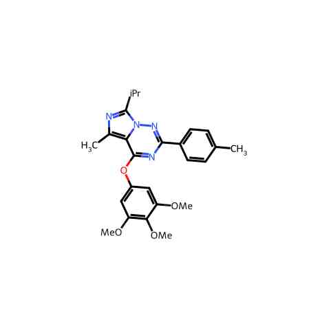 COc1cc(Oc2nc(-c3ccc(C)cc3)nn3c(C(C)C)nc(C)c23)cc(OC)c1OC